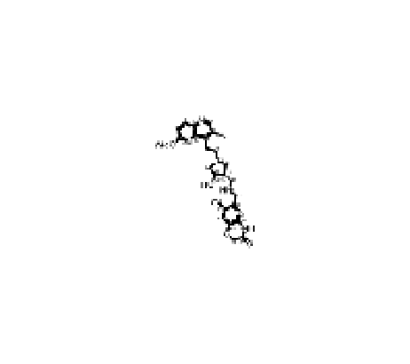 COc1ccc2ncc(F)c(CCN3C[C@@H](CNCc4nc5c(cc4Cl)OCC(=O)N5)[C@@H](O)C3)c2n1